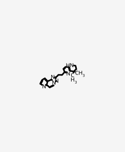 CC1(C)CCNc2ccc(CCc3nc4c5cccnc5ccn4n3)nc21